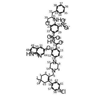 CC1(C)CCC(CN2CCN(c3ccc(C(=O)NS(=O)(=O)c4cc5c(c([N+](=O)[O-])c4)N[C@H](Cc4ccccc4)CO5)c(Oc4cnc5[nH]ccc5c4)c3)CC2)=C(c2ccc(Cl)cc2)C1